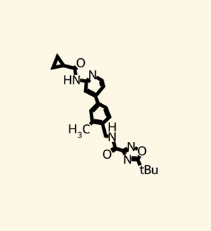 Cc1cc(-c2ccnc(NC(=O)C3CC3)c2)ccc1CNC(=O)c1noc(C(C)(C)C)n1